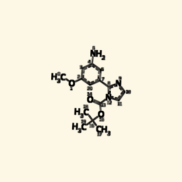 COc1cc(N)cc(-c2nccn2C(=O)OC(C)(C)C)c1